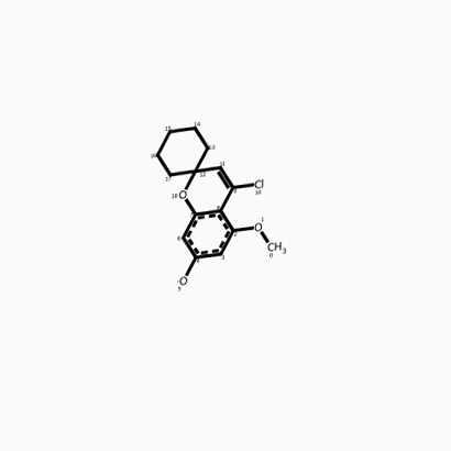 COc1cc([O])cc2c1C(Cl)=CC1(CCCCC1)O2